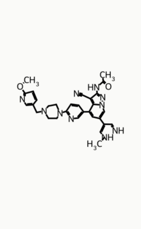 CN/C=C(\C=N)c1cc(-c2ccc(N3CCN(Cc4ccc(OC)nc4)CC3)nc2)c2c(C#N)c(NC(C)=O)nn2c1